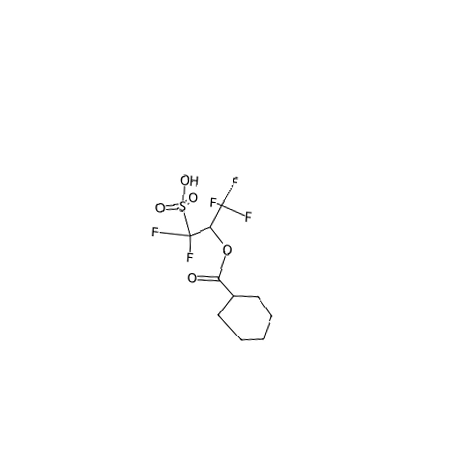 O=C(OC(C(F)(F)F)C(F)(F)S(=O)(=O)O)C1CCCCC1